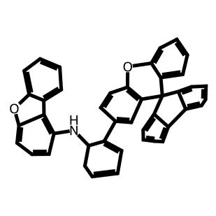 C1=CCC(Nc2cccc3oc4ccccc4c23)C(c2ccc3c(c2)C2(c4ccccc4O3)c3ccccc3-c3ccccc32)=C1